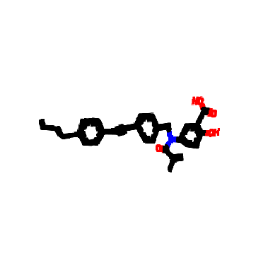 C=C(C)C(=O)N(Cc1ccc(C#Cc2ccc(CCCC)cc2)cc1)c1ccc(O)c(C(=O)O)c1